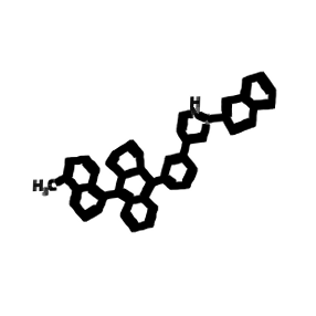 Cc1cccc2c(C3=c4ccccc4=C(c4cccc(C5=CI(c6ccc7ccccc7c6)NC=C5)c4)C4C=CC=CC34)cccc12